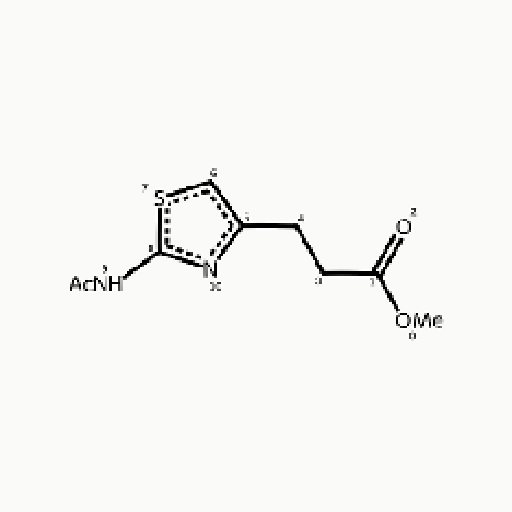 COC(=O)CCc1csc(NC(C)=O)n1